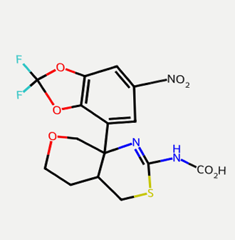 O=C(O)NC1=NC2(c3cc([N+](=O)[O-])cc4c3OC(F)(F)O4)COCCC2CS1